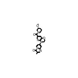 CO[C@@H]1CCCN(C(=O)c2cnc3c(c2)OCCN3c2ccn3c(=O)c(C)cnc3c2)C1